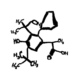 CC(C(=O)O)c1cc(C(C)(C)C)c(O)c(C(C)(C)C)c1-c1ccccc1